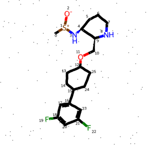 C[S+]([O-])N[C@H]1CCCN[C@H]1COC1CCC(c2cc(F)cc(F)c2)CC1